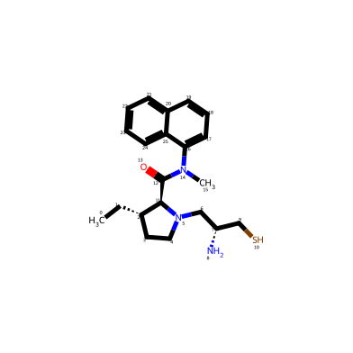 CC[C@H]1CCN(C[C@@H](N)CS)[C@@H]1C(=O)N(C)c1cccc2ccccc12